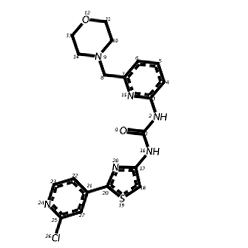 O=C(Nc1cccc(CN2CCOCC2)n1)Nc1csc(-c2ccnc(Cl)c2)n1